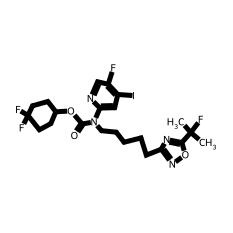 CC(C)(F)c1nc(CCCCCN(C(=O)OC2CCC(F)(F)CC2)c2cc(I)c(F)cn2)no1